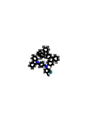 Cc1ccc(N(c2ccc(-c3ccccc3-c3ccc4c(c3)-c3ccccc3C43C4CC5CC(C4)CC3C5)cc2)c2ccc(-n3c4ccccc4c4ccccc43)cc2)cc1F